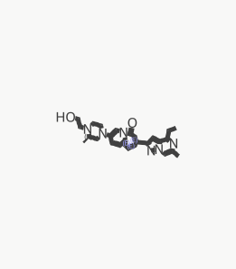 CCc1nc(C)cn2nc(C3=C\C(=O)N4C=C(N5CCN(CCO)[C@H](C)C5)C=C\C4=C/C=C/3)cc12